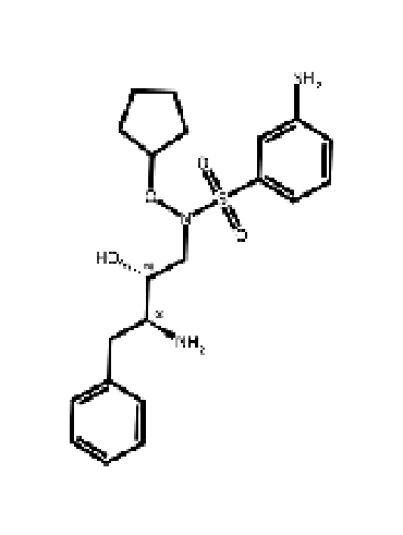 Nc1cccc(S(=O)(=O)N(C[C@@H](O)[C@@H](N)Cc2ccccc2)OC2CCCC2)c1